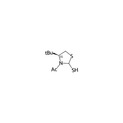 CC(=O)N1C(S)SC[C@@H]1C(C)(C)C